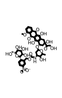 COc1cccc2c1C(=O)c1c(O)c3c(c(O)c1C2=O)C[C@@](O)(C(=O)CO)C[C@@H]3OC1CC(NC(=O)OCc2cc([N+](=O)[O-])ccc2[C@@H]2O[C@H](CO)[C@H](O)[C@H](O)[C@H]2O)C(O)C(C)O1